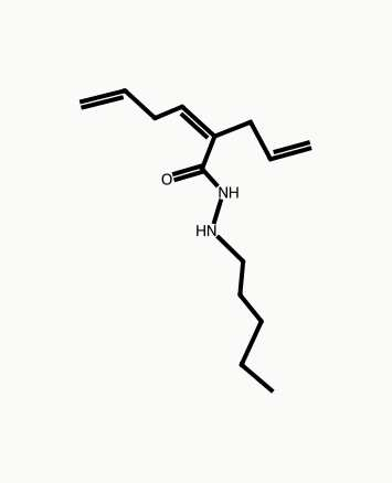 C=CCC=C(CC=C)C(=O)NNCCCCC